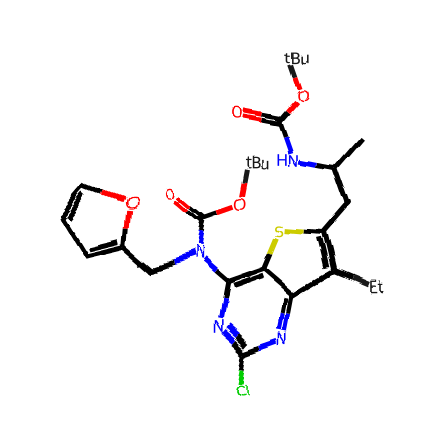 CCc1c(CC(C)NC(=O)OC(C)(C)C)sc2c(N(Cc3ccco3)C(=O)OC(C)(C)C)nc(Cl)nc12